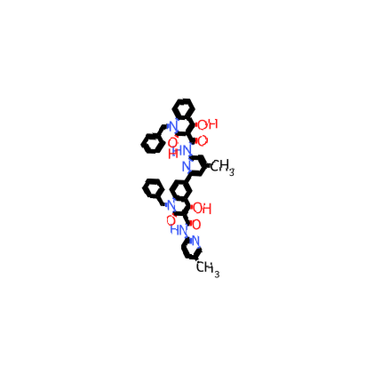 Cc1ccc(NC(=O)c2c(O)c3cc(-c4cc(C)cc(NC(=O)C5=C(O)c6ccccc6N(Cc6ccccc6)C5O)n4)ccc3n(Cc3ccccc3)c2=O)nc1